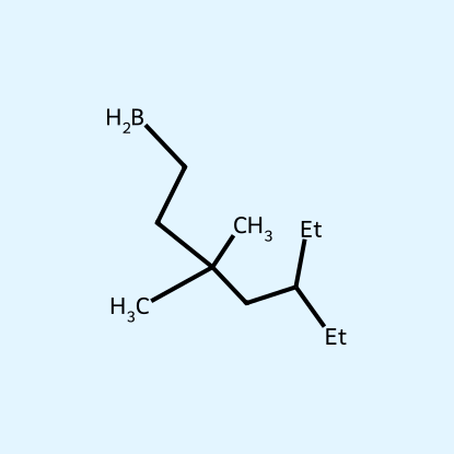 BCCC(C)(C)CC(CC)CC